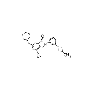 CC1CC(c2cccc(N3Cc4c(cc(CN5CCCCC5)nc4C4CC4)C3=O)c2)C1